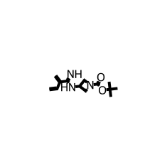 C=CC(=C)C(=N)NC1CN(C(=O)OC(C)(C)C)C1